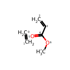 C=C.C=CC(=O)OC